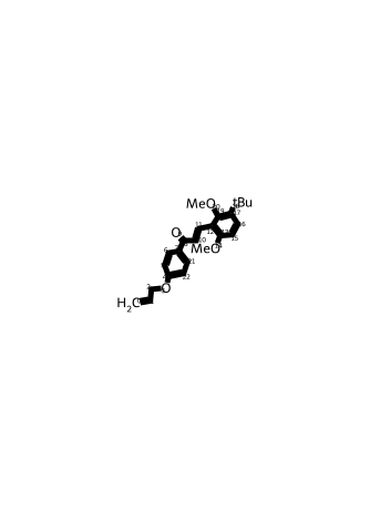 C=CCOc1ccc(C(=O)C=Cc2c(OC)ccc(C(C)(C)C)c2OC)cc1